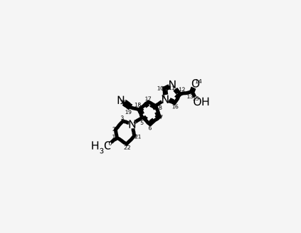 CC1CCN(c2ccc(-n3cnc(C(=O)O)c3)cc2C#N)CC1